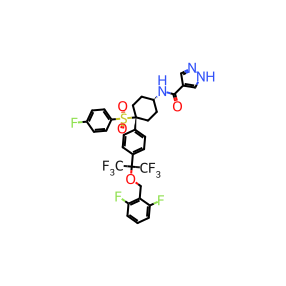 O=C(N[C@H]1CC[C@@](c2ccc(C(OCc3c(F)cccc3F)(C(F)(F)F)C(F)(F)F)cc2)(S(=O)(=O)c2ccc(F)cc2)CC1)c1cn[nH]c1